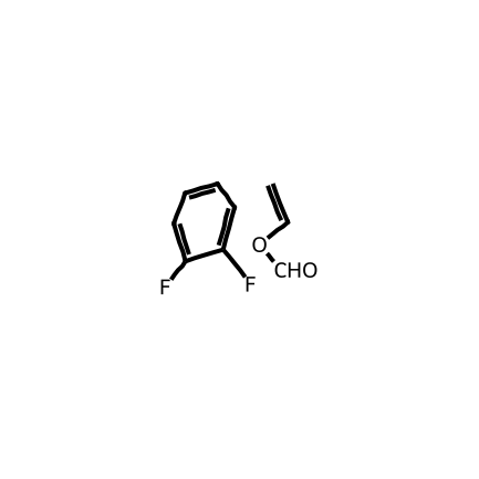 C=COC=O.Fc1ccccc1F